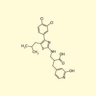 CC(C)Cc1sc(NCC(Cc2ccnc(O)c2)C(=O)O)nc1-c1ccc(Cl)c(Cl)c1